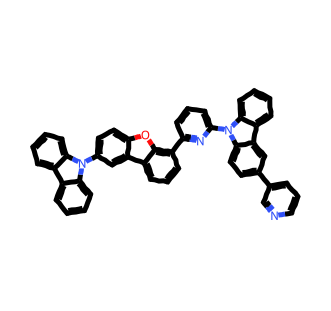 c1cncc(-c2ccc3c(c2)c2ccccc2n3-c2cccc(-c3cccc4c3oc3ccc(-n5c6ccccc6c6ccccc65)cc34)n2)c1